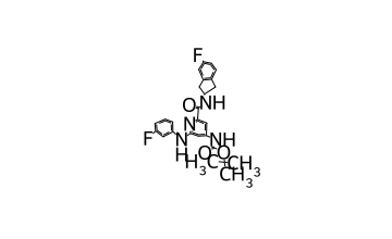 CC(C)(C)OC(=O)Nc1cc(Nc2cccc(F)c2)nc(C(=O)NC2Cc3ccc(F)cc3C2)c1